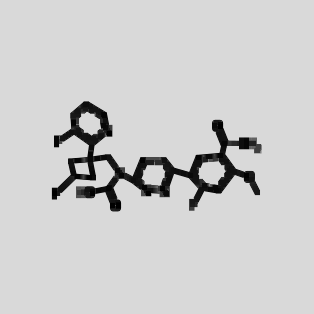 COc1cc(F)c(-c2ccc(N(CC3(c4ncccc4F)CC(F)C3)C(=O)O)nn2)cc1C(N)=O